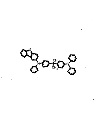 CC(C)(c1ccc(N(c2ccccc2)c2ccccc2)cc1)c1ccc(N(c2ccccc2)c2ccc3sc4ccccc4c3c2)cc1